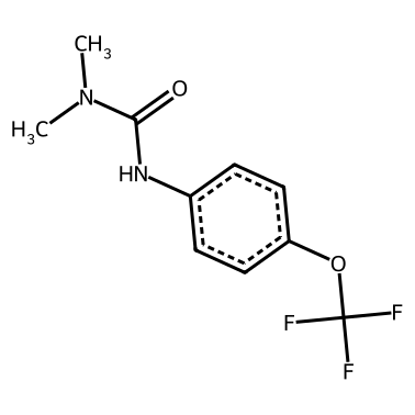 CN(C)C(=O)Nc1ccc(OC(F)(F)F)cc1